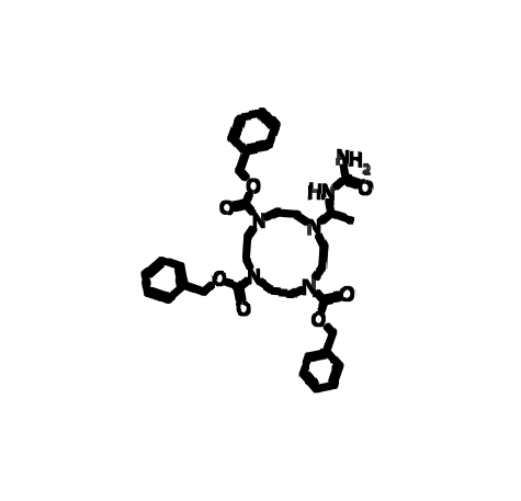 CC(NC(N)=O)N1CCN(C(=O)OCc2ccccc2)CCN(C(=O)OCc2ccccc2)CCN(C(=O)OCc2ccccc2)CC1